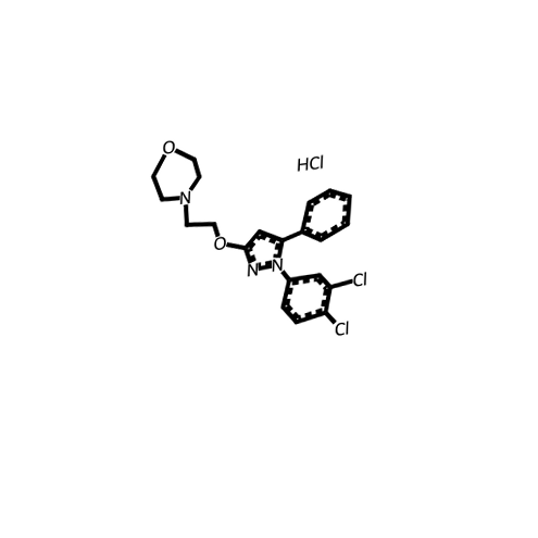 Cl.Clc1ccc(-n2nc(OCCN3CCOCC3)cc2-c2ccccc2)cc1Cl